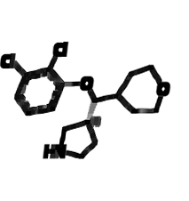 Clc1cccc(OC(C2CCOCC2)[C@@H]2CCNC2)c1Cl